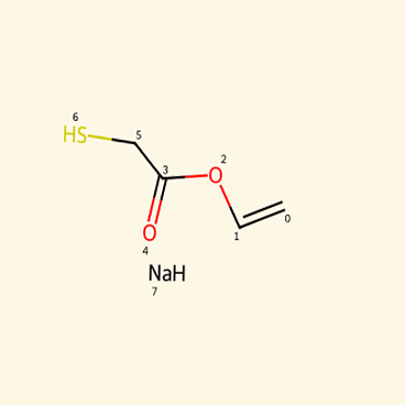 C=COC(=O)CS.[NaH]